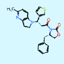 Cc1ccc2c(n1)CCN2[C@@H](CC(=O)N1C(=O)OC[C@@H]1Cc1ccccc1)c1ccsc1